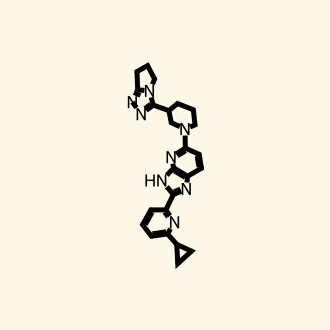 c1cc(-c2nc3ccc(N4CCCC(c5nnc6n5CCC6)C4)nc3[nH]2)nc(C2CC2)c1